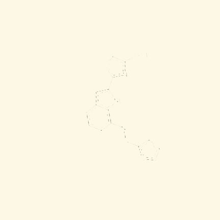 CCOC(=O)c1csc(-c2cc3cccc(NSc4cccs4)c3[nH]2)n1